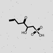 C=CCC(=O)C(O)CS(=O)(=O)O